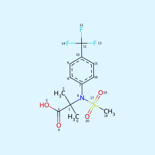 CC(C)(C(=O)O)N(c1ccc(C(F)(F)F)cc1)S(C)(=O)=O